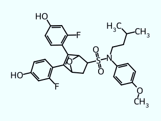 COc1ccc(N(CCC(C)C)S(=O)(=O)C2CC3OC2C(c2ccc(O)cc2F)=C3c2ccc(O)cc2F)cc1